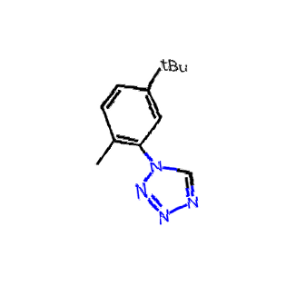 Cc1ccc(C(C)(C)C)cc1-n1cnnn1